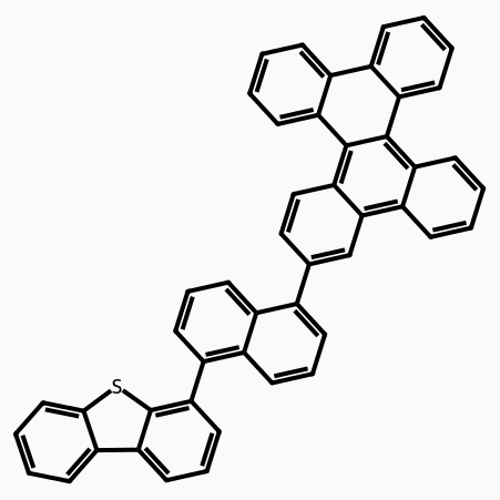 c1ccc2c(c1)sc1c(-c3cccc4c(-c5ccc6c(c5)c5ccccc5c5c7ccccc7c7ccccc7c65)cccc34)cccc12